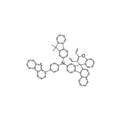 C=CC1=C(C=C)C2(c3ccccc3O1)c1cc(N(c3ccc(-c4cccc5c4sc4ccccc45)cc3)c3ccc4c(c3)C(C)(C)c3ccccc3-4)ccc1-c1c2ccc2ccccc12